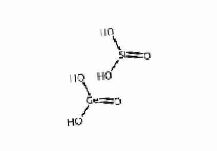 O=[Si](O)O.[O]=[Ge]([OH])[OH]